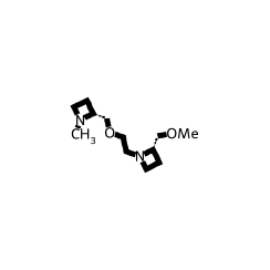 COC[C@@H]1CCN1CCOC[C@H]1CCN1C